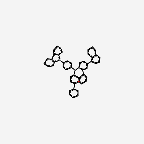 c1ccc(-c2ccc(N(c3ccc(-n4c5ccccc5c5ccccc54)cc3)c3ccc(-c4cccc5ccccc45)cc3-c3ccccc3)cc2)cc1